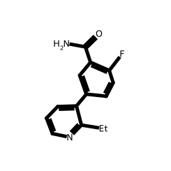 CCc1ncccc1-c1ccc(F)c(C(N)=O)c1